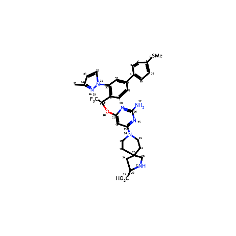 CSc1ccc(-c2ccc([C@@H](Oc3cc(N4CCC5(CC4)CNC(C(=O)O)C5)nc(N)n3)C(F)(F)F)c(-n3ccc(C)n3)c2)cc1